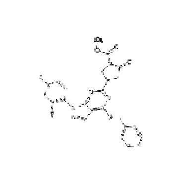 CC(C)(C)OC(=O)N1CC(c2nc(OCc3ccccc3)c3cnn(-c4ccc(F)cc4F)c3n2)CC1=O